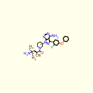 CC(C)(N)C=C(C#N)C(=O)N1CCC[C@@H](n2nc(-c3ccc(Oc4ccccc4)cc3F)c3c(N)ncnc32)C1